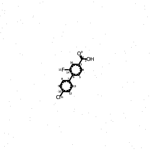 O=C(O)c1ccc(-c2ccc(Cl)cc2)c(F)c1